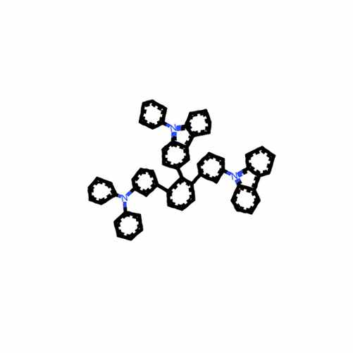 c1ccc(N(c2ccccc2)c2cccc(-c3cccc(-c4cccc(-n5c6ccccc6c6ccccc65)c4)c3-c3ccc4c(c3)c3ccccc3n4-c3ccccc3)c2)cc1